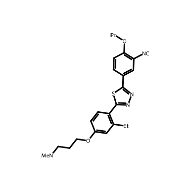 [C-]#[N+]c1cc(-c2nnc(-c3ccc(OCCCNC)cc3CC)s2)ccc1OC(C)C